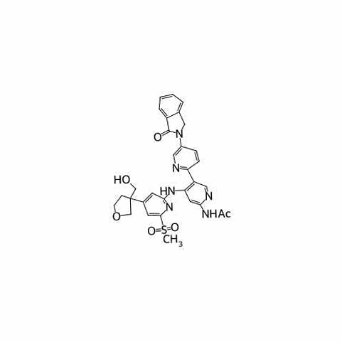 CC(=O)Nc1cc(Nc2cc(C3(CO)CCOC3)cc(S(C)(=O)=O)n2)c(-c2ccc(N3Cc4ccccc4C3=O)cn2)cn1